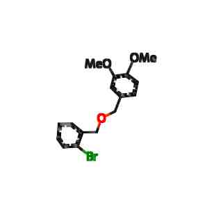 COc1ccc(COCc2ccccc2Br)cc1OC